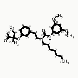 CCCCCCCN(CCc1cccc(OC(C)(CC)C(=O)O)c1)C(=O)Nc1cc(OC)cc(OC)c1